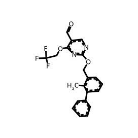 Cc1c(COc2ncc(C=O)c(OCC(F)(F)F)n2)cccc1-c1ccccc1